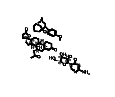 CC(=O)S[C@@H]1CC2=CC(=O)CC[C@]2(C)[C@H]2CC[C@@]3(C)[C@@H](CC[C@@]34CCC(=O)O4)[C@H]12.COc1ccc(C(CN(C)C)C2(O)CCCCC2)cc1.Nc1ncn([C@@H]2O[C@H](CO)[C@@H](O)[C@H]2O)c(=O)n1